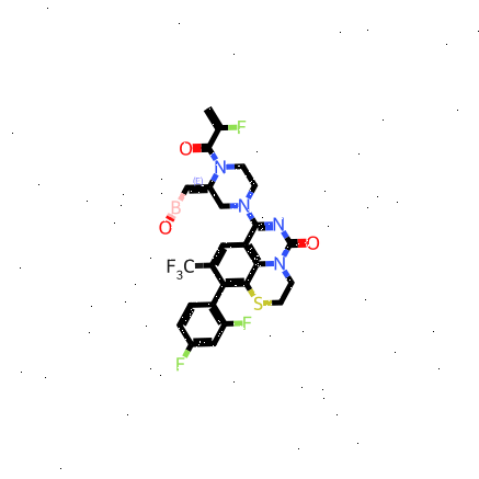 C=C(F)C(=O)N1CCN(c2nc(=O)n3c4c(c(-c5ccc(F)cc5F)c(C(F)(F)F)cc24)SCC3)C/C1=C\B=O